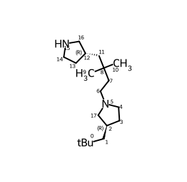 CC(C)(C)C[C@@H]1CCN(CCC(C)(C)C[C@@H]2CCNC2)C1